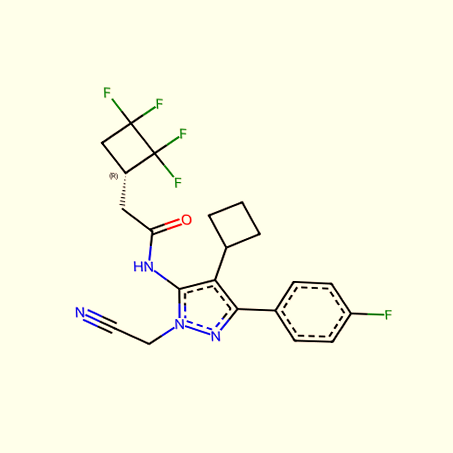 N#CCn1nc(-c2ccc(F)cc2)c(C2CCC2)c1NC(=O)C[C@@H]1CC(F)(F)C1(F)F